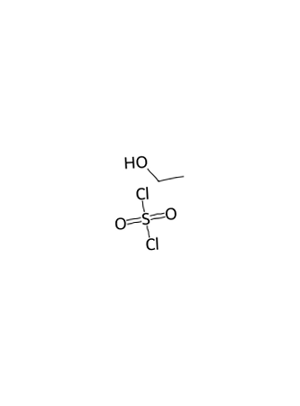 CCO.O=S(=O)(Cl)Cl